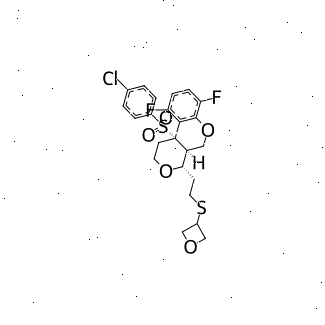 O=S(=O)(c1ccc(Cl)cc1)[C@@]12CCO[C@@H](CCSC3COC3)[C@@H]1COc1c(F)ccc(F)c12